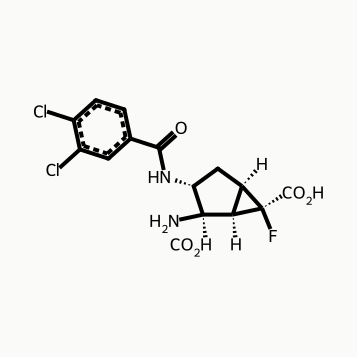 N[C@]1(C(=O)O)[C@H]2[C@@H](C[C@H]1NC(=O)c1ccc(Cl)c(Cl)c1)[C@]2(F)C(=O)O